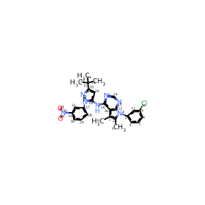 Cc1c(C)n(-c2cccc(Cl)c2)c2ncnc(Nc3cc(C(C)(C)C)nn3-c3cccc([N+](=O)[O-])c3)c12